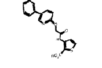 O=C(COc1ccc(-c2ccccc2)cn1)Nc1ccsc1C(=O)O